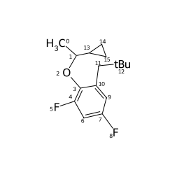 CC(Oc1c(F)cc(F)cc1CC(C)(C)C)C1CC1